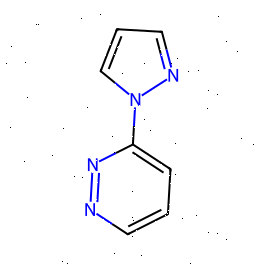 c1cnnc(-n2cccn2)c1